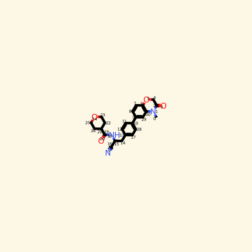 CN1C(=O)COc2ccc(-c3ccc(CC(C#N)NC(=O)C4CCOCC4)cc3)cc21